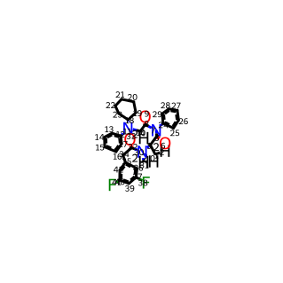 [2H]C([2H])[C@@]([2H])(C(=O)N(C(=O)CN(c1ccccc1)C1CCCCC1)c1ccccc1)N([2H])C(=O)Cc1cc(F)cc(F)c1